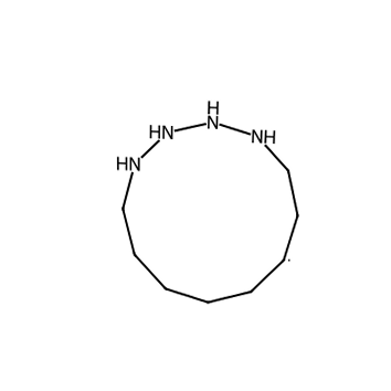 [CH]1CCCCCNNNNCC1